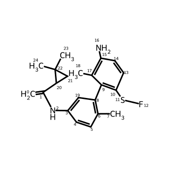 C=C(Nc1ccc(C)c(-c2c(SF)ccc(N)c2C)c1)C1CC1(C)C